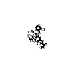 CC(C)[N-]C(C)C.CCCCc1ncc(C=C(Cc2cccs2)C(C)C(=O)O)n1Cc1ccccc1Cl.[Li+]